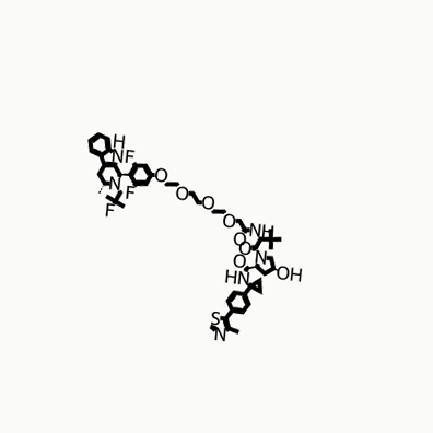 Cc1ncsc1-c1ccc(C2(NC(=O)[C@@H]3C[C@@H](O)CN3C(=O)[C@@H](NC(=O)COCCOCCOCCOc3cc(F)c([C@@H]4c5[nH]c6ccccc6c5C[C@@H](C)N4CC(C)(C)F)c(F)c3)C(C)(C)C)CC2)cc1